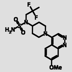 COc1ccc2c(N3CCC(N(CC(C)(F)F)S(N)(=O)=O)CC3)cnnc2c1